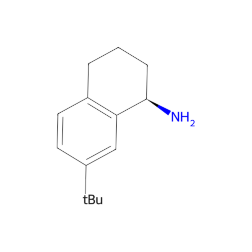 CC(C)(C)c1ccc2c(c1)[C@H](N)CCC2